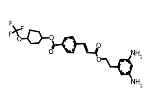 Nc1cc(N)cc(CCOC(=O)C=Cc2ccc(C(=O)OC3CCC(OC(F)(F)F)CC3)cc2)c1